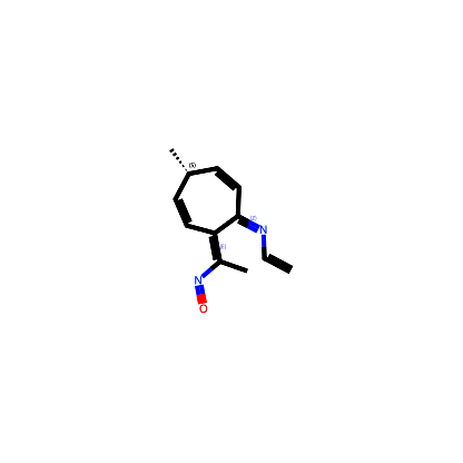 C=C/N=C1/C=C[C@@H](C)C=C/C1=C(/C)N=O